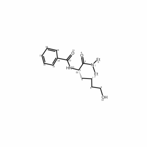 CCN(CC)C(=O)[C@H](CCCCO)NC(=O)c1ccccc1